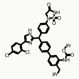 CC(C)Cc1ccc(-c2ccc(C(c3ccc(N4CC(=O)NS4(=O)=O)cc3)c3nc(-c4ccc(Cl)cc4Cl)c[nH]3)cc2)cc1NC(=O)OC(C)C